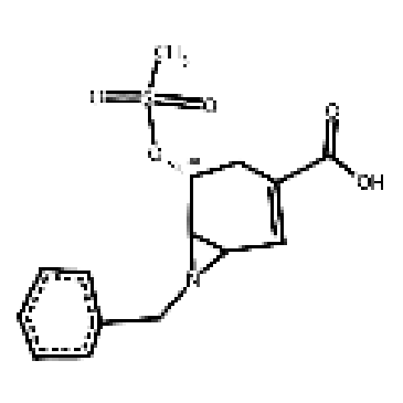 CS(=O)(=O)O[C@@H]1CC(C(=O)O)=CC2C1N2Cc1ccccc1